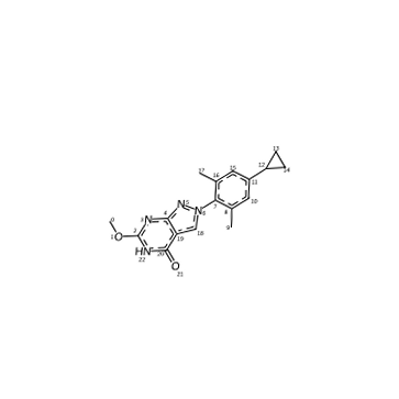 COc1nc2nn(-c3c(C)cc(C4CC4)cc3C)cc2c(=O)[nH]1